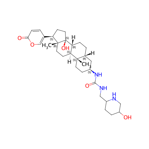 C[C@]12CC[C@H](NC(=O)NCC3CCC(O)CN3)C[C@H]1CC[C@@H]1[C@@H]2CC[C@]2(C)[C@@H](c3ccc(=O)oc3)CC[C@]12O